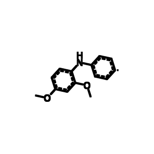 COc1ccc(Nc2cc[c]cc2)c(OC)c1